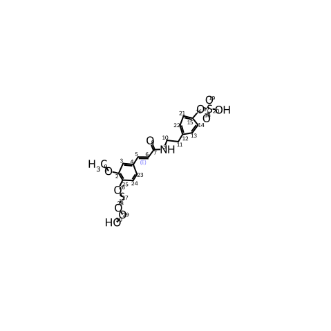 COc1cc(/C=C/C(=O)NCCc2ccc(OS(=O)(=O)O)cc2)ccc1OSOOO